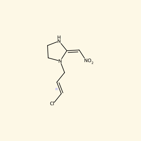 O=[N+]([O-])C=C1NCCN1C/C=C/Cl